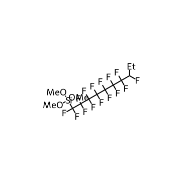 CCC(F)C(F)(F)C(F)(F)C(F)(F)C(F)(F)C(F)(F)C(F)(F)C(F)(F)[Si](OC)(OC)OC